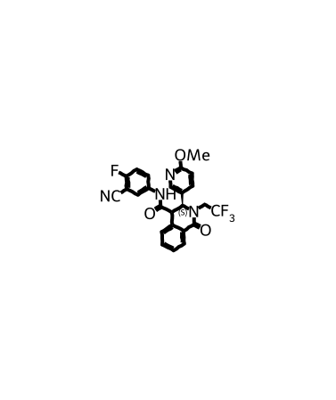 COc1ccc([C@@H]2C(C(=O)Nc3ccc(F)c(C#N)c3)c3ccccc3C(=O)N2CC(F)(F)F)cn1